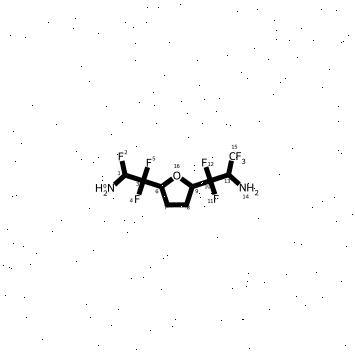 NC(F)C(F)(F)C1CCC(C(F)(F)C(N)C(F)(F)F)O1